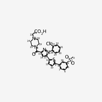 CS(=O)(=O)c1cccc(-c2ccc(-c3cc(C(=O)N4CCN(CC(=O)O)CC4)nn3-c3ccccc3Cl)s2)c1